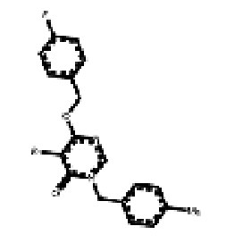 CC(C)(C)c1ccc(Cn2cnc(OCc3ccc(F)cc3)c(Br)c2=O)cc1